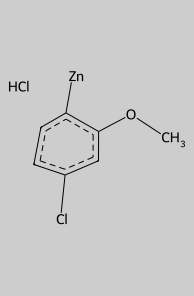 COc1cc(Cl)cc[c]1[Zn].Cl